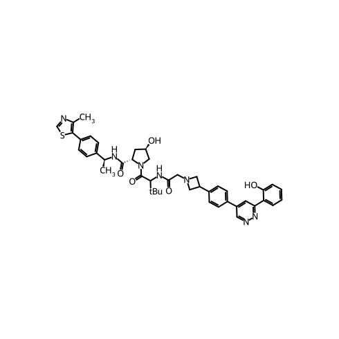 Cc1ncsc1-c1ccc([C@H](C)NC(=O)[C@@H]2C[C@@H](O)CN2C(=O)C(NC(=O)CN2CC(c3ccc(-c4cnnc(-c5ccccc5O)c4)cc3)C2)C(C)(C)C)cc1